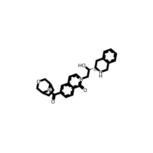 O=C(c1ccc2c(=O)n(CC(O)[C@@H]3Cc4ccccc4CN3)ccc2c1)N1C2CCC1COC2